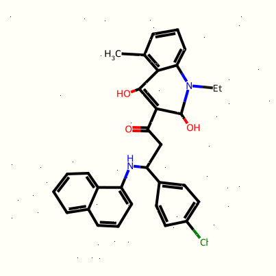 CCN1c2cccc(C)c2C(O)=C(C(=O)CC(Nc2cccc3ccccc23)c2ccc(Cl)cc2)C1O